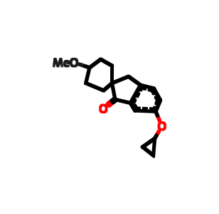 COC1CCC2(CC1)Cc1ccc(OC3CC3)cc1C2=O